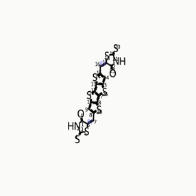 O=C1NC(=S)S/C1=C/c1cc2sc3c4sc(/C=C5/SC(=S)NC5=O)cc4sc3c2s1